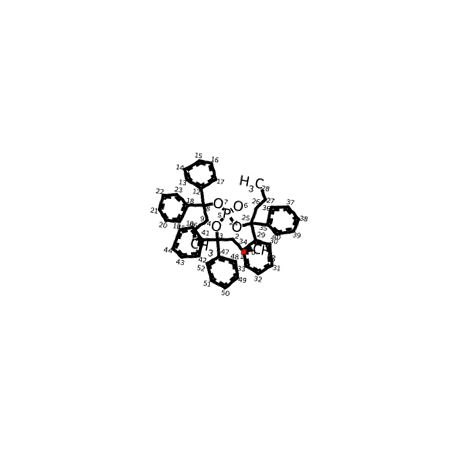 CCCC(OP(=O)(OC(CCC)(c1ccccc1)c1ccccc1)OC(CCC)(c1ccccc1)c1ccccc1)(c1ccccc1)c1ccccc1